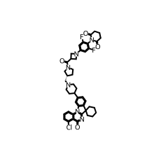 O=C(C1CN(c2cc(F)c(N3C(=O)CCCC3=O)c(F)c2)C1)N1CC[C@H](CN2CCC(c3ccc4c(c3)-n3c(nc(=O)c5c(Cl)cccc53)C43CCCCC3)CC2)C1